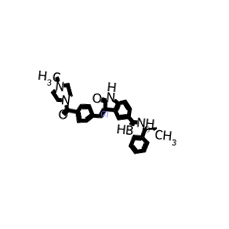 B=C(N[C@@H](CC)c1ccccc1)c1ccc2c(c1)/C(=C/c1ccc(C(=O)N3CCN(C)CC3)cc1)C(=O)N2